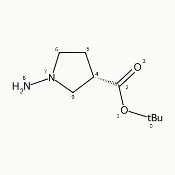 CC(C)(C)OC(=O)[C@H]1CCN(N)C1